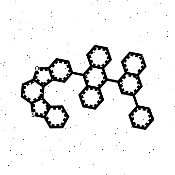 c1ccc(-c2cc(-c3c4ccccc4c(-c4ccc5oc6ccc7sc8ccccc8c7c6c5c4)c4ccccc34)c3ccccc3c2)cc1